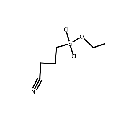 CCO[Si](Cl)(Cl)CCCC#N